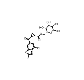 Cc1nc2c(Cl)cc(C(=O)[C@H]3C[C@@H]3C(=O)OC[C@H]3OC(O)[C@H](O)[C@@H](O)[C@@H]3O)cc2o1